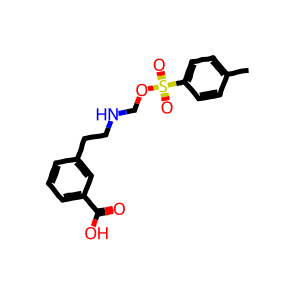 Cc1ccc(S(=O)(=O)OCNCCc2cccc(C(=O)O)c2)cc1